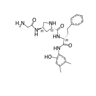 Cc1cc(O)c(NC(=O)[C@@H](CCc2ccccc2)NC(=O)[C@@H]2C[C@@H](NC(=O)CN)CN2)cc1C